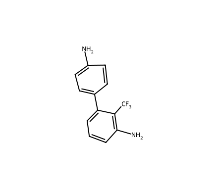 Nc1ccc(-c2cccc(N)c2C(F)(F)F)cc1